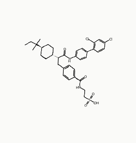 CCC(C)(C)[C@H]1CC[C@H](C(Cc2ccc(C(=O)NCCS(=O)(=O)O)cc2)C(=O)Nc2ccc(-c3ccc(Cl)cc3Cl)cc2)CC1